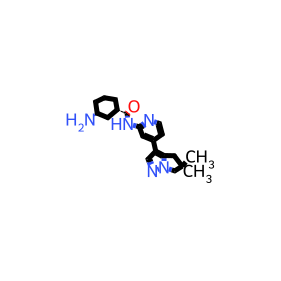 CC1(C)Cc2c(-c3ccnc(NC(=O)[C@H]4CCC[C@@H](N)C4)c3)cnn2C1